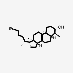 CC(C)CCC[C@@H](C)[C@H]1CC[C@H]2C3=C(CC[C@]12C)[C@@]1(C)CC[C@H](O)[C@@H](C)[C@@H]1CC3